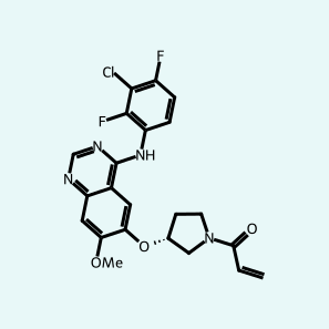 C=CC(=O)N1CC[C@@H](Oc2cc3c(Nc4ccc(F)c(Cl)c4F)ncnc3cc2OC)C1